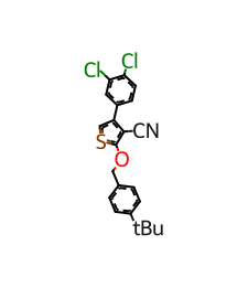 CC(C)(C)c1ccc(COc2scc(-c3ccc(Cl)c(Cl)c3)c2C#N)cc1